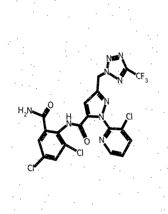 NC(=O)c1cc(Cl)cc(Cl)c1NC(=O)c1cc(Cn2nnc(C(F)(F)F)n2)nn1-c1ncccc1Cl